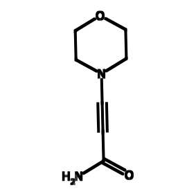 NC(=O)C#CN1CCOCC1